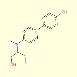 CN(c1ccc(-c2ccc(O)cc2)cc1)C(CO)CF